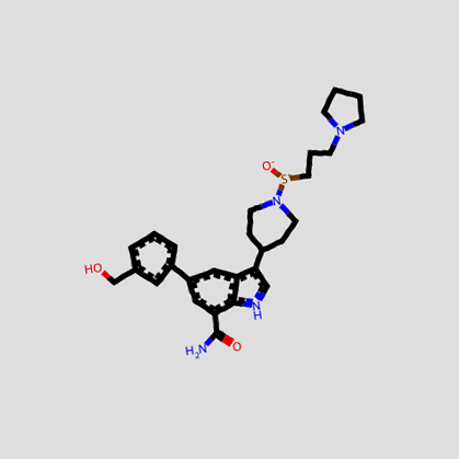 NC(=O)c1cc(-c2cccc(CO)c2)cc2c(C3CCN([S+]([O-])CCCN4CCCC4)CC3)c[nH]c12